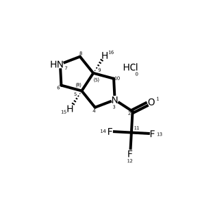 Cl.O=C(N1C[C@H]2CNC[C@H]2C1)C(F)(F)F